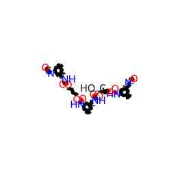 CC1(C)CC(NC(=O)OC[C@](C)(COC(=O)NC[C@]2(C)CC(NC(=O)OCCCCOC(=O)NC[C@]3(C)CC(N=C=O)CC(C)(C)C3)CC(C)(C)C2)C(=O)O)C[C@](C)(CN=C=O)C1